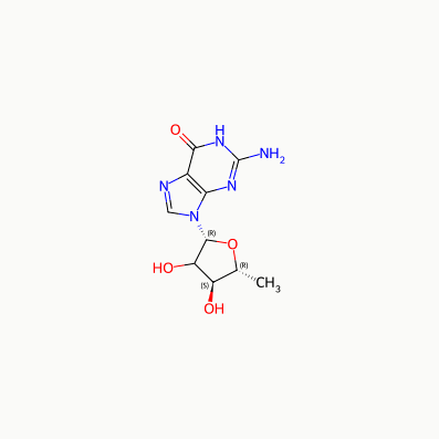 C[C@H]1O[C@@H](n2cnc3c(=O)[nH]c(N)nc32)C(O)[C@@H]1O